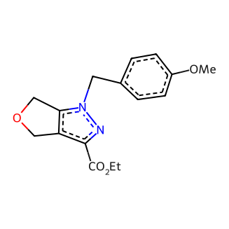 CCOC(=O)c1nn(Cc2ccc(OC)cc2)c2c1COC2